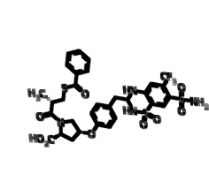 C[C@H](CSC(=O)c1ccccc1)C(=O)N1C[C@@H](Oc2ccc(CC3Nc4cc(C(F)(F)F)c(S(N)(=O)=O)cc4S(=O)(=O)N3)cc2)C[C@H]1C(=O)O